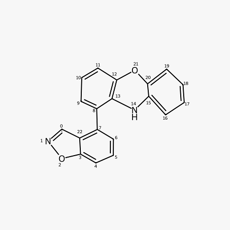 [c]1noc2cccc(-c3cccc4c3Nc3ccccc3O4)c12